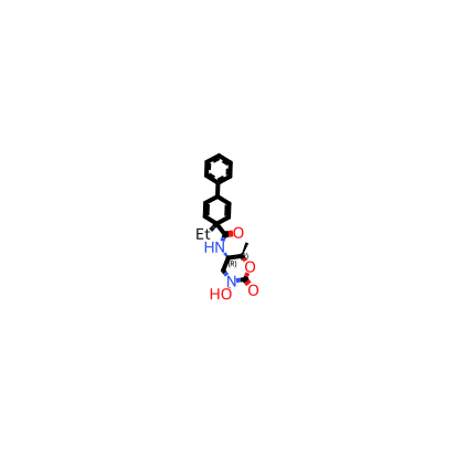 CCC1(C(=O)N[C@@H]2CN(O)C(=O)O[C@@H]2C)C=CC(c2ccccc2)C=C1